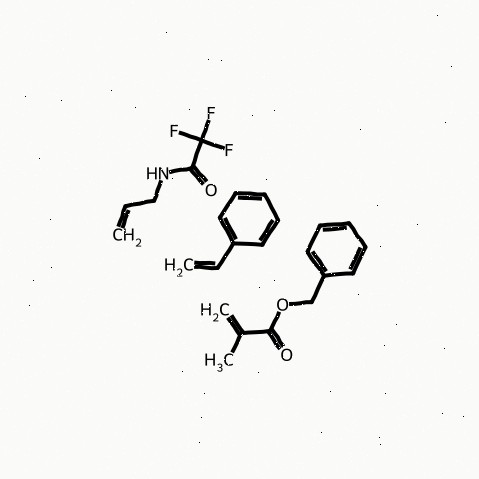 C=C(C)C(=O)OCc1ccccc1.C=CCNC(=O)C(F)(F)F.C=Cc1ccccc1